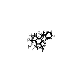 Nc1c(C(F)(F)F)c(N)c(C(F)(F)F)c(Oc2ccccc2)c1C(F)(F)F